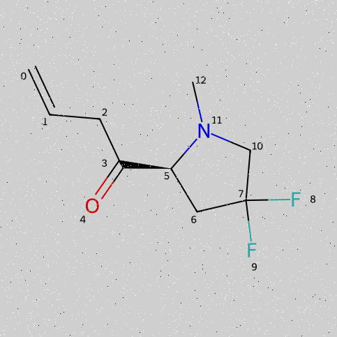 C=CCC(=O)[C@@H]1CC(F)(F)CN1C